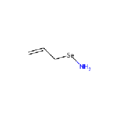 C=CC[Se]N